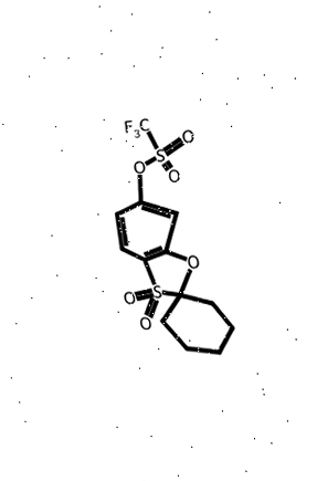 O=S(=O)(Oc1ccc2c(c1)OC1(CCCCC1)S2(=O)=O)C(F)(F)F